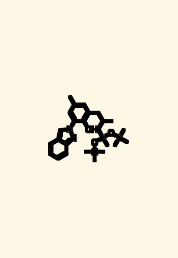 Cc1cc(CC(C)C[Si](C)(O[Si](C)(C)C)O[Si](C)(C)C)c(O)c(-n2cc3ccccc3n2)c1